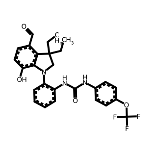 CCC1(CC)CN(c2ccccc2NC(=O)Nc2ccc(OC(F)(F)F)cc2)c2c(O)ccc(C=O)c21